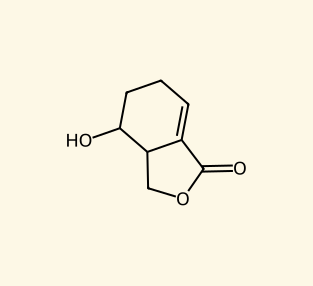 O=C1OCC2C1=CCCC2O